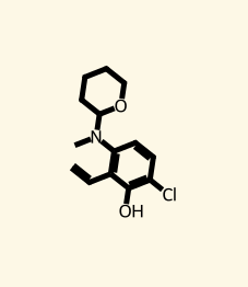 C=Cc1c(N(C)C2CCCCO2)ccc(Cl)c1O